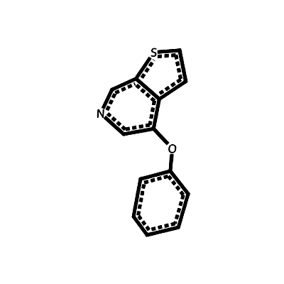 c1ccc(Oc2cncc3sccc23)cc1